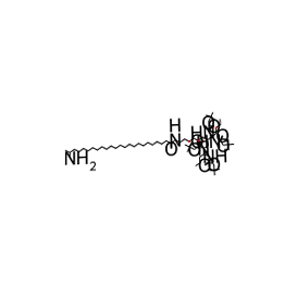 CCCCC(NC(=O)OC(C)(C)C)(NC(=O)OC(C)(C)C)C(CCCCCCNC(=O)CCCCCCCCCCCCCCCCCCCCCC(C)N)CN(C(=O)OC(C)(C)C)C(CCC)NC(=O)OC(C)(C)C